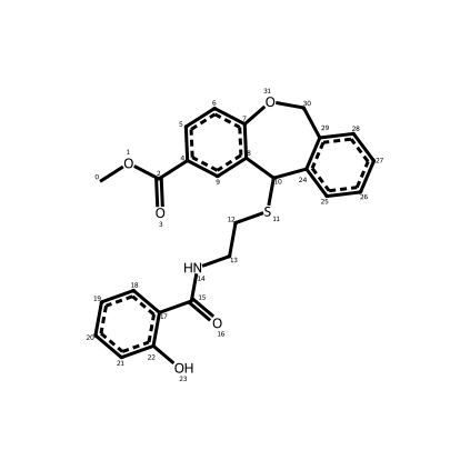 COC(=O)c1ccc2c(c1)C(SCCNC(=O)c1ccccc1O)c1ccccc1CO2